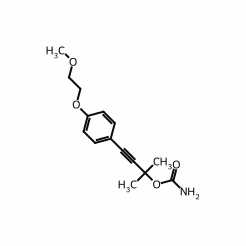 COCCOc1ccc(C#CC(C)(C)OC(N)=O)cc1